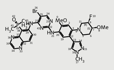 COc1cc(N2CC[C@H](OC)[C@H](F)C2)c(-c2cnn(C)c2)cc1Nc1ncc(Br)c(Nc2ccc3nccnc3c2P(C)(C)=O)n1